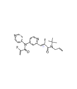 C=CCN(C(=O)/C(F)=C/c1cc(N(C(=O)C(=C)F)c2ccncc2)ccn1)C(C)(C)C